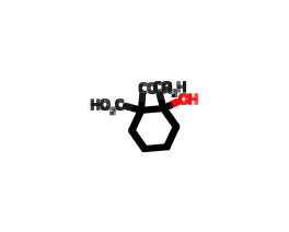 O=C(O)C1(O)CCCCC1(C(=O)O)C(=O)O